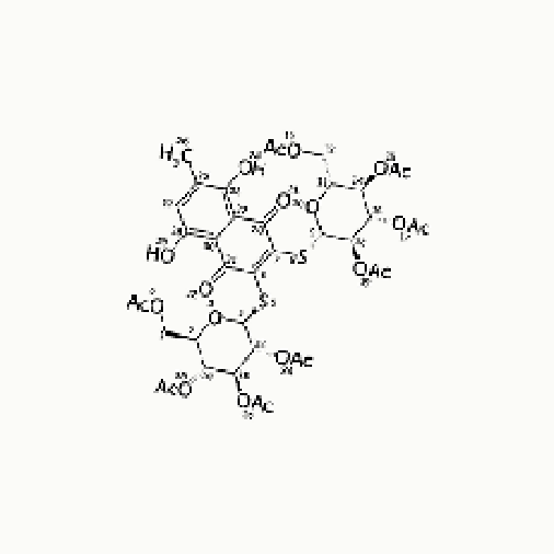 CC(=O)OC[C@H]1O[C@@H](SC2=C(S[C@@H]3O[C@H](COC(C)=O)[C@@H](OC(C)=O)[C@H](OC(C)=O)[C@H]3OC(C)=O)C(=O)c3c(O)c(C)cc(O)c3C2=O)[C@H](OC(C)=O)[C@@H](OC(C)=O)[C@@H]1OC(C)=O